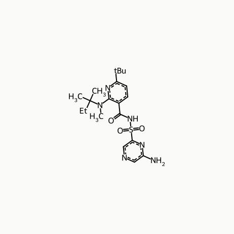 CCC(C)(C)N(C)c1nc(C(C)(C)C)ccc1C(=O)NS(=O)(=O)c1cncc(N)n1